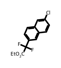 CCOC(=O)C(F)(F)c1ccc2cc(Cl)ccc2c1